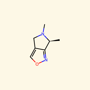 C[C@H]1c2nocc2CN1C